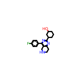 OC1CCCC(c2nc3c(c(-c4ccc(F)cc4)n2)CNCC3)C1